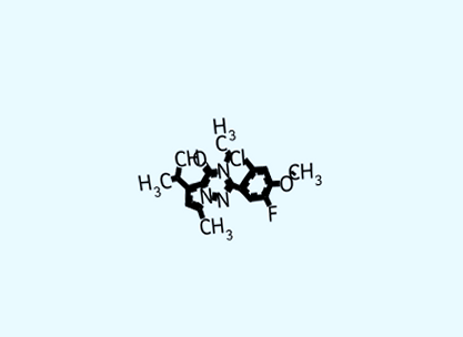 CCn1c(-c2cc(F)c(OC)cc2Cl)nn2c(C)cc(C(C)C)c2c1=O